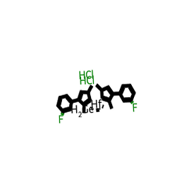 CC1=[C]([Hf]([CH3])([CH3])(=[GeH2])[C]2=C(C)C(c3cccc(F)c3)=CC2C)C(C)C=C1c1cccc(F)c1.Cl.Cl